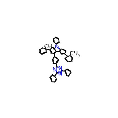 CC1C=CC=CC1c1ccc2c(c1)c1c(-c3ccc(-c4nc(-c5ccccc5)nc(-c5ccccc5)n4)cc3)cc(C3(C)C=CC=CC3)cc1n2-c1ccccc1